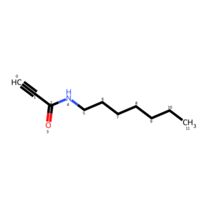 C#CC(=O)NCCCCCCC